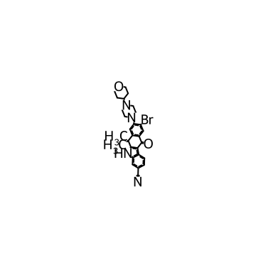 CC1(C)c2cc(N3CCN(C4CCOCC4)CC3)c(Br)cc2C(=O)c2c1[nH]c1cc(C#N)ccc21